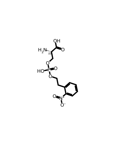 N[C@@H](COP(=O)(O)OCCc1ccccc1[N+](=O)[O-])C(=O)O